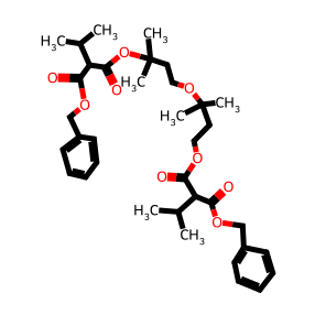 CC(C)C(C(=O)OCCC(C)(C)OCCC(C)(C)OC(=O)C(C(=O)OCc1ccccc1)C(C)C)C(=O)OCc1ccccc1